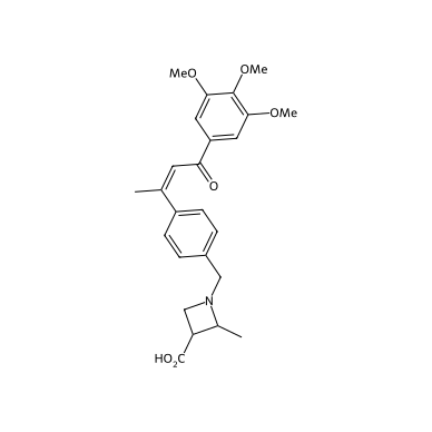 COc1cc(C(=O)C=C(C)c2ccc(CN3CC(C(=O)O)C3C)cc2)cc(OC)c1OC